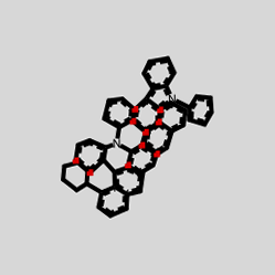 c1ccc(-n2c3ccccc3c3ccc(-c4ccccc4N(c4ccccc4-c4cccc5ccccc45)c4ccccc4-c4cccc5cccc(C6CCCCC6)c45)cc32)cc1